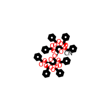 N#CC(O[C@@H]1O[C@H](CO[C@@H]2O[C@H](COC(=O)c3ccccc3)[C@@H](OC(=O)c3ccccc3)[C@H](OC(=O)c3ccccc3)[C@H]2OC(=O)c2ccccc2)[C@@H](OC(=O)c2ccccc2)[C@H](OC(=O)c2ccccc2)[C@H]1OC(=O)c1ccccc1)c1ccccc1